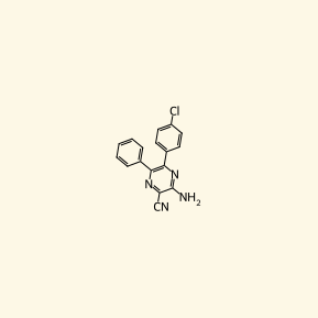 N#Cc1nc(-c2ccccc2)c(-c2ccc(Cl)cc2)nc1N